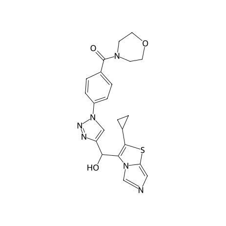 O=C(c1ccc(-n2cc(C(O)c3c(C4CC4)sc4cncn34)nn2)cc1)N1CCOCC1